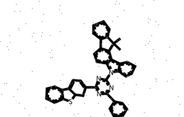 CC1(C)c2ccccc2-c2ccc3c(c21)c1ccccc1n3-c1nc(C2=CC=C3c4ccccc4SC3C2)nc(-c2ccccc2)n1